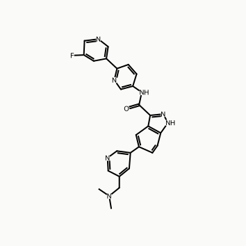 CN(C)Cc1cncc(-c2ccc3[nH]nc(C(=O)Nc4ccc(-c5cncc(F)c5)nc4)c3c2)c1